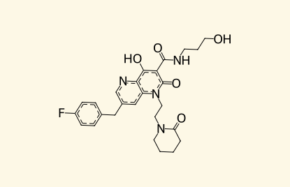 O=C(NCCCO)c1c(O)c2ncc(Cc3ccc(F)cc3)cc2n(CCN2CCCCC2=O)c1=O